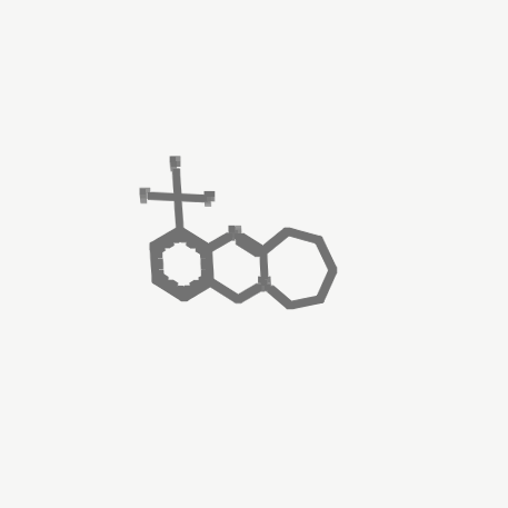 FC(F)(F)c1cccc2c1N=C1CCCCCN1C2